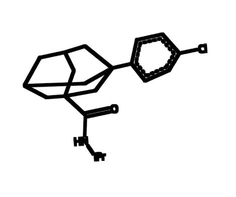 CC(C)NC(=O)C12CC3CC(C1)CC(c1ccc(Cl)cc1)(C3)C2